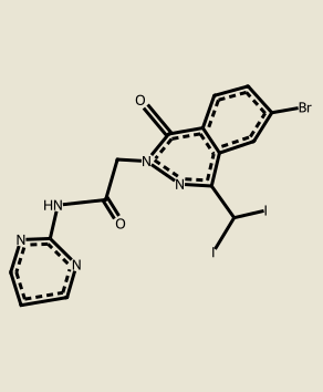 O=C(Cn1nc(C(I)I)c2cc(Br)ccc2c1=O)Nc1ncccn1